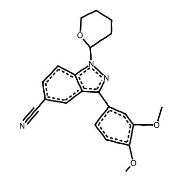 COc1ccc(-c2nn(C3CCCCO3)c3ccc(C#N)cc23)cc1OC